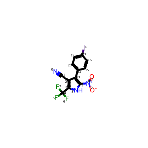 N#Cc1c(C(F)(F)F)[nH]c([N+](=O)[O-])c1-c1ccc(I)cc1